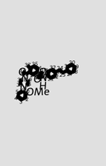 COc1ccccc1N1CCN(C(=O)c2cc(S(=O)(=O)Nc3ccc(CCc4ccccc4)cc3)ccc2C)CC1